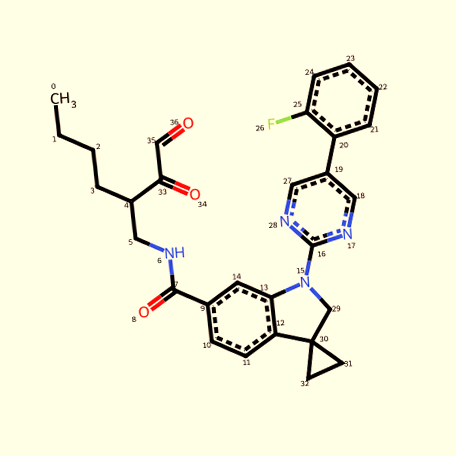 CCCCC(CNC(=O)c1ccc2c(c1)N(c1ncc(-c3ccccc3F)cn1)CC21CC1)C(=O)C=O